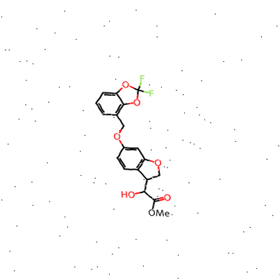 COC(=O)C(O)C1COc2cc(OCc3cccc4c3OC(F)(F)O4)ccc21